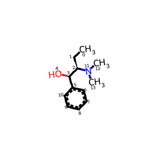 CC[C@H]([C@H](O)c1ccccc1)N(C)C